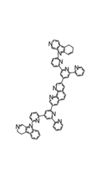 C1=Cc2c(c3ccncc3n2-c2cccc(-c3cc(-c4cnc5c(ccc6cc(-c7cc(-c8cccc(-n9c%10c(c%11ccccc%119)CCN=C%10)n8)cc(-c8ccccn8)n7)cnc65)c4)cc(-c4ccccn4)n3)n2)CC1